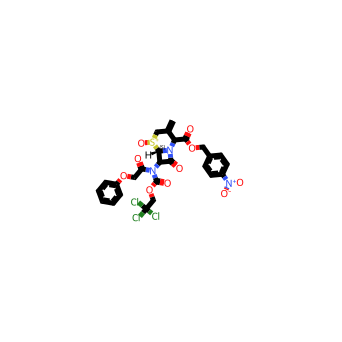 C=C1C[S+]([O-])[C@H]2C(N(C(=O)COc3ccccc3)C(=O)OCC(Cl)(Cl)Cl)C(=O)N2C1C(=O)OCc1ccc([N+](=O)[O-])cc1